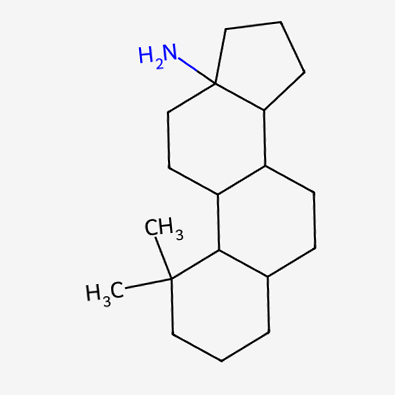 CC1(C)CCCC2CCC3C(CCC4(N)CCCC34)C21